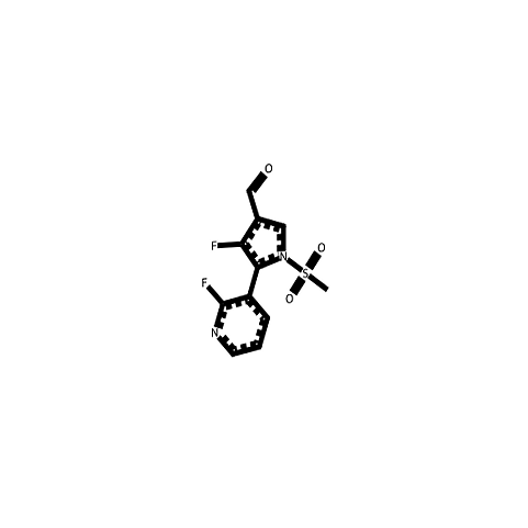 CS(=O)(=O)n1cc(C=O)c(F)c1-c1cccnc1F